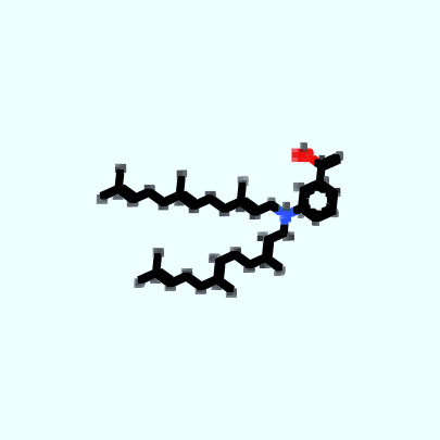 C=C(O)c1cccc(N(C/C=C(\C)CC/C=C(\C)CCC=C(C)C)C/C=C(\C)CC/C=C(\C)CCC=C(C)C)c1